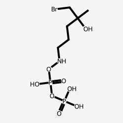 CC(O)(CBr)CCCNOP(=O)(O)OP(=O)(O)O